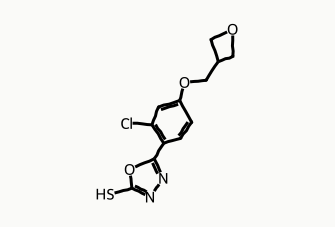 Sc1nnc(-c2ccc(OCC3COC3)cc2Cl)o1